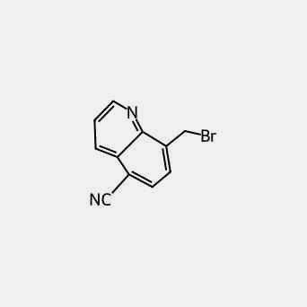 N#Cc1ccc(CBr)c2ncccc12